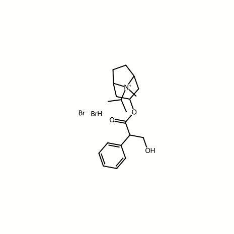 Br.CC(C)[N+]1(C)C2CCC1CC(OC(=O)C(CO)c1ccccc1)C2.[Br-]